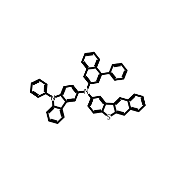 c1ccc(-c2cc(N(c3ccc4sc5cc6ccccc6cc5c4c3)c3ccc4c(c3)c3ccccc3n4-c3ccccc3)cc3ccccc23)cc1